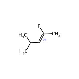 C/C(F)=C/C(C)C